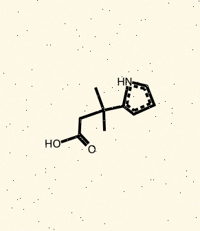 CC(C)(CC(=O)O)c1ccc[nH]1